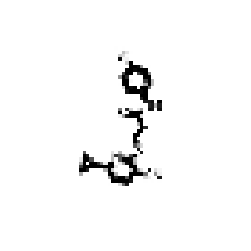 N#Cc1ccc(C2CC2)nc1SCCC(=O)Nc1ccc(Br)cc1